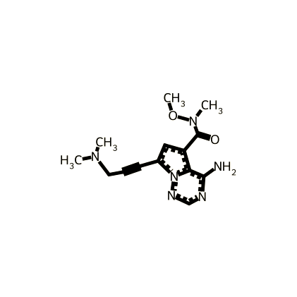 CON(C)C(=O)c1cc(C#CCN(C)C)n2ncnc(N)c12